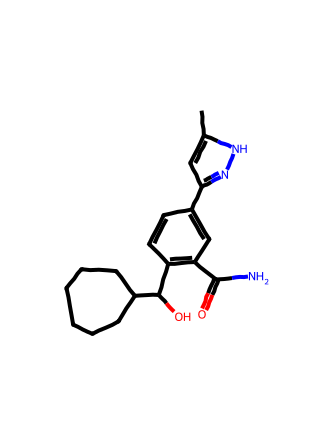 Cc1cc(-c2ccc(C(O)C3CCCCCC3)c(C(N)=O)c2)n[nH]1